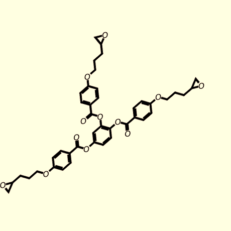 O=C(Oc1ccc(OC(=O)c2ccc(OCCCC3CO3)cc2)c(OC(=O)c2ccc(OCCCC3CO3)cc2)c1)c1ccc(OCCCC2CO2)cc1